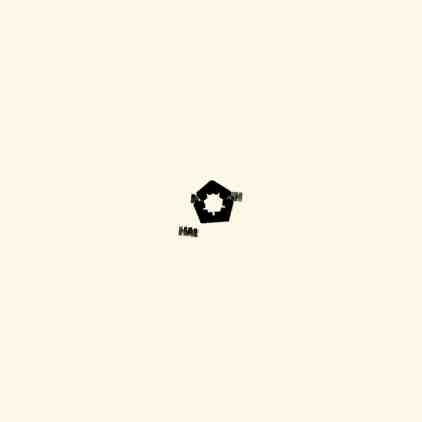 [AtH].c1c[nH]cn1